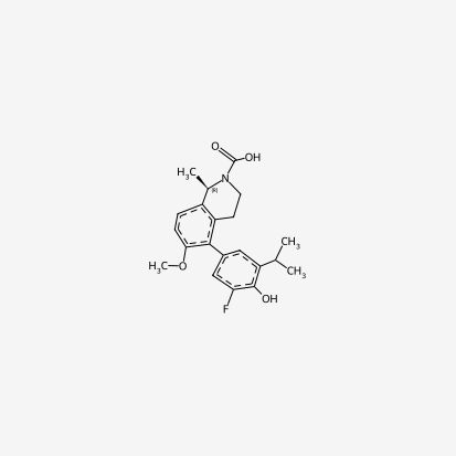 COc1ccc2c(c1-c1cc(F)c(O)c(C(C)C)c1)CCN(C(=O)O)[C@@H]2C